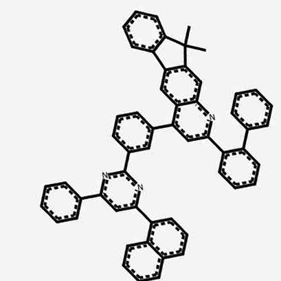 CC1(C)c2ccccc2-c2cc3c(-c4cccc(-c5nc(-c6ccccc6)cc(-c6cccc7ccccc67)n5)c4)cc(-c4ccccc4-c4ccccc4)nc3cc21